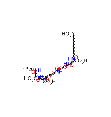 CCCCCNC(=O)CC[C@H](NC(=O)CC[C@H](NC(=O)COCCOCCNC(=O)COCCOCCNC(=O)CCC(NC(=O)CCCCCCCCCCCCCCC(=O)O)C(=O)O)C(=O)O)C(=O)O